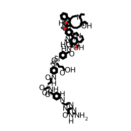 CCN1CCc2c([nH]c3ccccc23)[C@@](C(=O)OC)(c2cc3c(cc2OC)N(C)[C@H]2[C@@](O)(CNC(=O)c4ccc([Si](C)(C)O[Si](C)(CCCC(=O)O)c5ccc(NC(=O)CC[C@H](NC(=O)c6ccc(NCc7cnc8nc(N)[nH]c(=O)c8n7)cc6)C(=O)O)cc5)cc4)[C@H](O)[C@]4(CC)C=CCN5CC[C@]32[C@H]54)CCC[C@@](O)(CC)C1